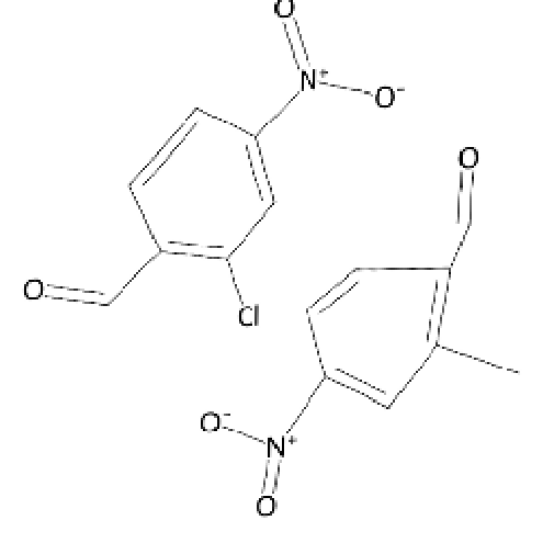 Cc1cc([N+](=O)[O-])ccc1C=O.O=Cc1ccc([N+](=O)[O-])cc1Cl